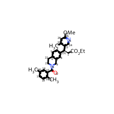 CCOC(=O)C[C@@H](c1ccc2c(c1)CN(C(=O)c1cc(C)ccc1C)CC2)c1cnc(OC)cc1C